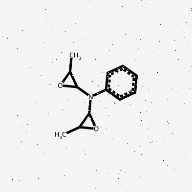 CC1OC1N(c1ccccc1)C1OC1C